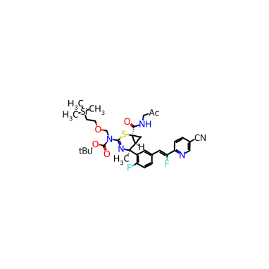 CC(=O)CNC(=O)[C@]12C[C@H]1[C@@](C)(c1cc(/C=C(\F)c3ccc(C#N)cn3)ccc1F)N=C(N(COCC[Si](C)(C)C)C(=O)OC(C)(C)C)S2